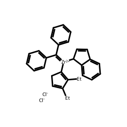 CCC1=CC[C]([Zr+2](=[C](c2ccccc2)c2ccccc2)[CH]2C=Cc3ccccc32)=C1CC.[Cl-].[Cl-]